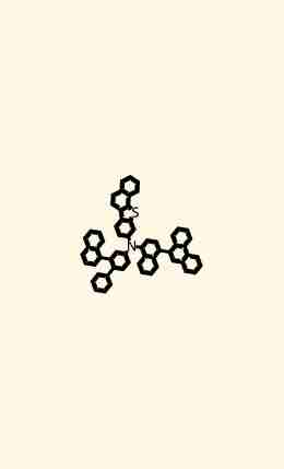 c1ccc(-c2ccc(N(c3ccc4c(c3)sc3c5ccccc5ccc43)c3ccc(-c4cc5ccccc5c5ccccc45)c4ccccc34)cc2-c2cccc3ccccc23)cc1